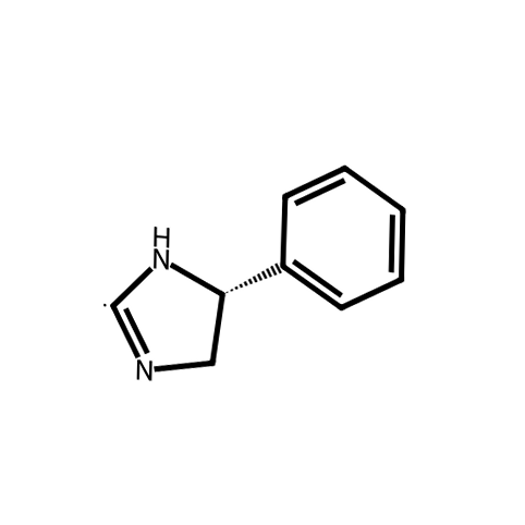 [C]1=NC[C@@H](c2ccccc2)N1